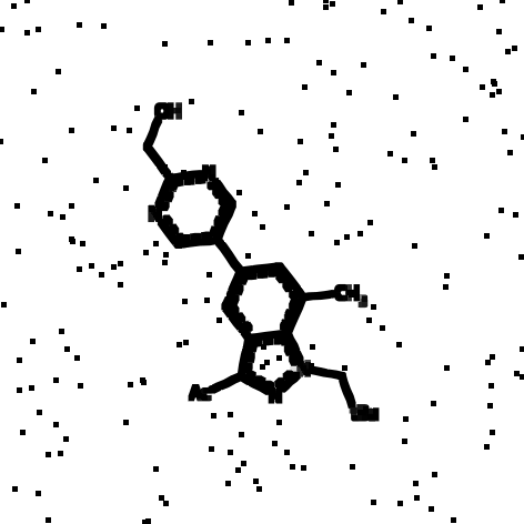 CC(=O)c1nn(CC(C)(C)C)c2c(C)cc(-c3cnc(CO)nc3)cc12